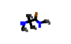 CNC(=S)C(C)(C)NC